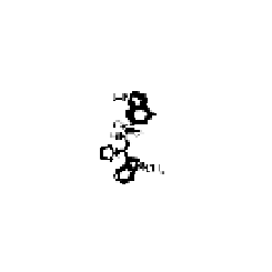 Cn1cc(C(CNS(=O)(=O)c2ccc3cc[nH]c3c2)N2CCCC2)c2cnccc21